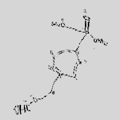 COP(=O)(OC)c1ccc(CO[C]=O)cc1